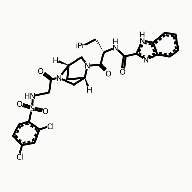 CC(C)C[C@H](NC(=O)c1nc2ccccc2[nH]1)C(=O)N1C[C@@H]2C[C@H]1CN2C(=O)CNS(=O)(=O)c1ccc(Cl)cc1Cl